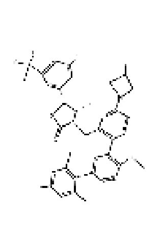 COc1ncc(-c2c(C)cc(C)cc2C)cc1-c1cnc(N2CC(F)C2)nc1CN1C(=O)O[C@H](c2cc(F)cc(C(F)(F)F)c2)[C@@H]1C